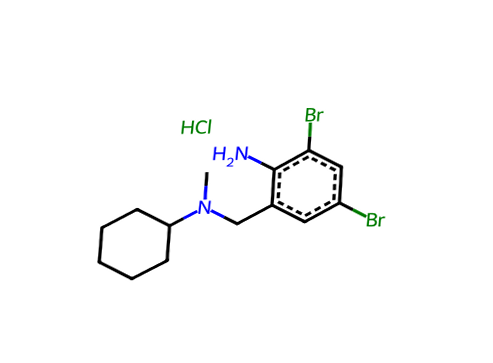 CN(Cc1cc(Br)cc(Br)c1N)C1CCCCC1.Cl